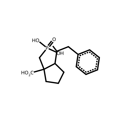 CC(Cc1ccccc1)C1CCCC1(CP(=O)(O)O)C(=O)O